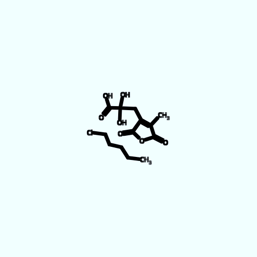 CC1=C(CC(O)(O)C(=O)O)C(=O)OC1=O.CCCCCCl